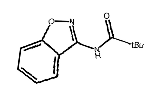 CC(C)(C)C(=O)Nc1noc2ccccc12